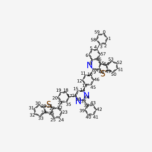 c1ccc(-c2ccc3nc(-c4ccc(-c5cc(-c6cccc(-c7cccc8c7sc7ccccc78)c6)nc(-c6ccccc6)n5)cc4)c4sc5ccccc5c4c3c2)cc1